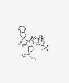 CC(C)(C)C(NC(=O)C(F)(F)F)C(=O)N1CC2C(C1C(=O)NC1(C#N)Cc3cccnc3C1)C2(C)C